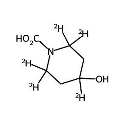 [2H]C1(O)CC([2H])([2H])N(C(=O)O)C([2H])([2H])C1